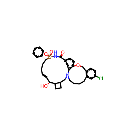 O=C1NS(=O)(=O)[C@@H](c2ccccc2)CC/C=C/[C@H](O)C2CCC2CN2CCCCc3cc(Cl)ccc3COc3ccc1cc32